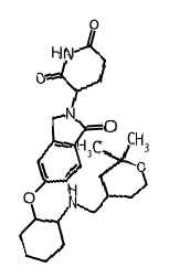 CC1(C)CC(CNC2CCCCC2Oc2ccc3c(c2)CN(C2CCC(=O)NC2=O)C3=O)CCO1